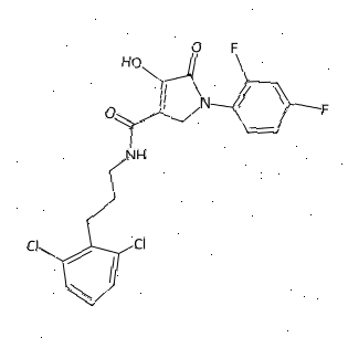 O=C(NCCCc1c(Cl)cccc1Cl)C1=C(O)C(=O)N(c2ccc(F)cc2F)C1